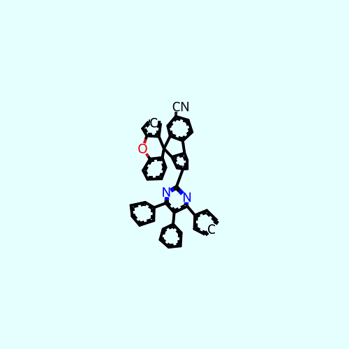 N#Cc1ccc2c(c1)C1(c3ccccc3Oc3ccccc31)c1cc(-c3nc(-c4ccccc4)c(-c4ccccc4)c(-c4ccccc4)n3)ccc1-2